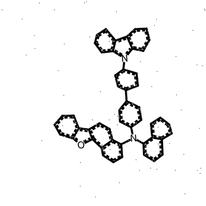 c1ccc2c(N(c3ccc(-c4ccc(-n5c6ccccc6c6ccccc65)cc4)cc3)c3cccc4c3ccc3c5ccccc5oc43)cccc2c1